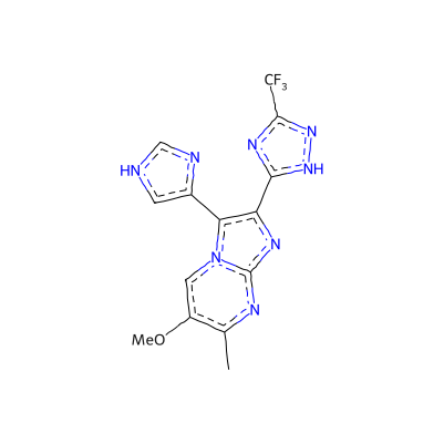 COc1cn2c(-c3c[nH]cn3)c(-c3nc(C(F)(F)F)n[nH]3)nc2nc1C